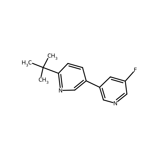 CC(C)(C)c1ccc(-c2cncc(F)c2)cn1